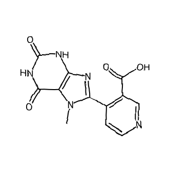 Cn1c(-c2ccncc2C(=O)O)nc2[nH]c(=O)[nH]c(=O)c21